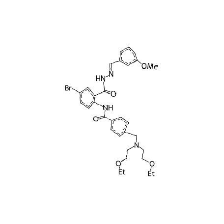 CCOCCN(CCOCC)Cc1ccc(C(=O)Nc2ccc(Br)cc2C(=O)NN=Cc2cccc(OC)c2)cc1